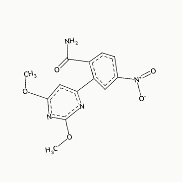 COc1cc(-c2cc([N+](=O)[O-])ccc2C(N)=O)nc(OC)n1